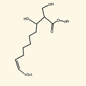 CCCCCCCC/C=C\CCCCCC(O)C(CO)C(=O)OCCC